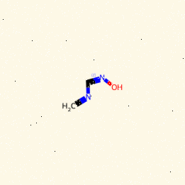 C=N/C=N\O